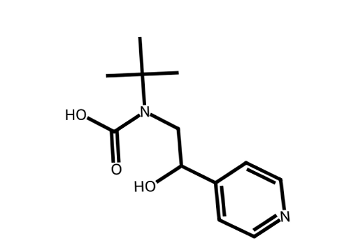 CC(C)(C)N(CC(O)c1ccncc1)C(=O)O